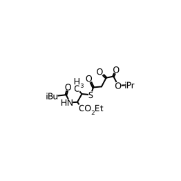 CCOC(=O)C(NC(=O)C(C)CC)C(C)SC(=O)CC(=O)C(=O)OC(C)C